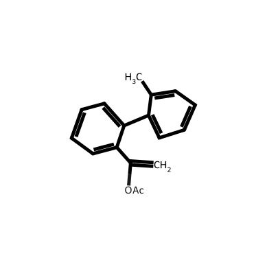 C=C(OC(C)=O)c1ccccc1-c1ccccc1C